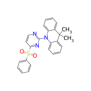 CC1(C)c2ccccc2N(c2nccc(S(=O)(=O)c3ccccc3)n2)c2ccccc21